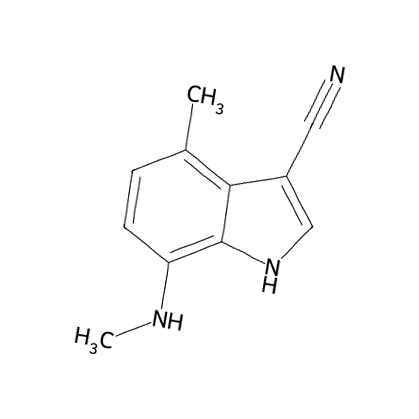 CNc1ccc(C)c2c(C#N)c[nH]c12